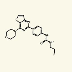 O=C(NCCF)Nc1ccc(-c2nc(N3CCOCC3)c3sccc3n2)cc1